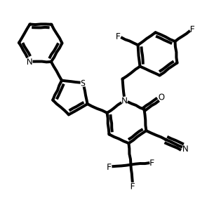 N#Cc1c(C(F)(F)F)cc(-c2ccc(-c3ccccn3)s2)n(Cc2ccc(F)cc2F)c1=O